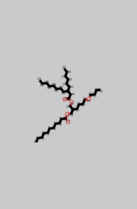 CCCCCCCCCCC(=O)OCC(CCCCOCCCC)COC(=O)CC(CCCCCC)CCCCCCCC